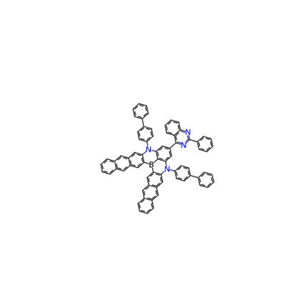 c1ccc(-c2ccc(N3c4cc5cc6ccccc6cc5cc4B4c5cc6cc7ccccc7cc6cc5N(c5ccc(-c6ccccc6)cc5)c5cc(-c6nc(-c7ccccc7)nc7ccccc67)cc3c54)cc2)cc1